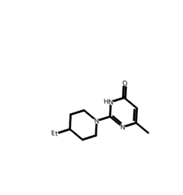 CCC1CCN(c2nc(C)cc(=O)[nH]2)CC1